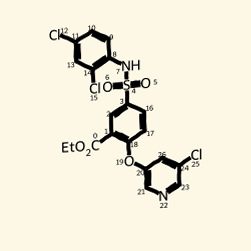 CCOC(=O)c1cc(S(=O)(=O)Nc2ccc(Cl)cc2Cl)ccc1Oc1cncc(Cl)c1